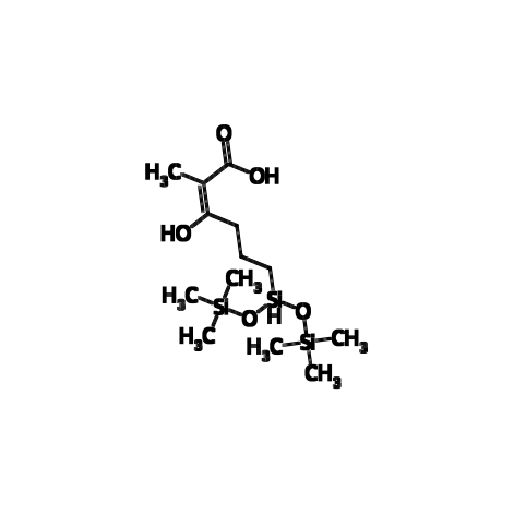 CC(C(=O)O)=C(O)CCC[SiH](O[Si](C)(C)C)O[Si](C)(C)C